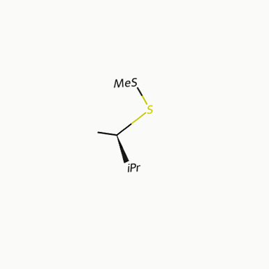 CSS[C@H](C)C(C)C